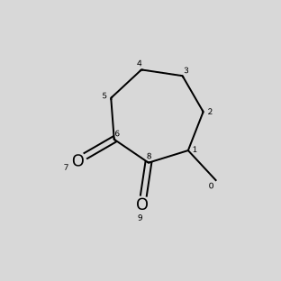 CC1CCCCC(=O)C1=O